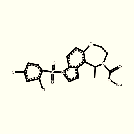 CC1c2c(ccc3c2ccn3S(=O)(=O)c2ccc(Cl)cc2Cl)OCCN1C(=O)OC(C)(C)C